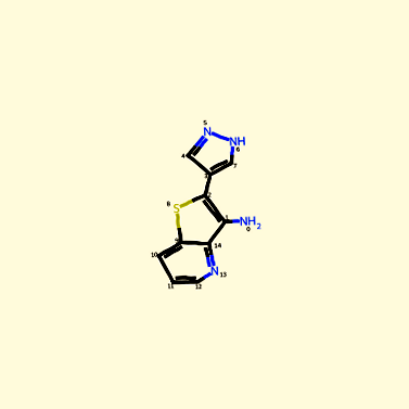 Nc1c(-c2cn[nH]c2)sc2cccnc12